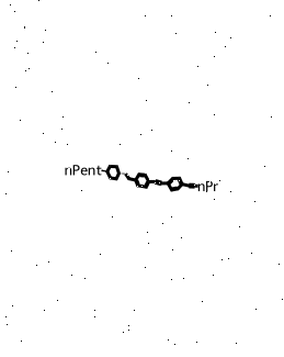 CCCC#Cc1ccc(C#Cc2ccc(CC[C@H]3CC[C@H](CCCCC)CC3)cc2)cc1